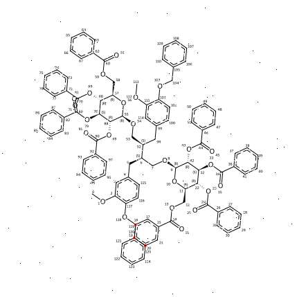 COc1cc(C[C@H](CO[C@@H]2O[C@H](COC(=O)c3ccccc3)[C@@H](OC(=O)c3ccccc3)[C@H](OC(=O)c3ccccc3)[C@H]2OC(=O)c2ccccc2)[C@@H](CO[C@@H]2O[C@H](COC(=O)c3ccccc3)[C@@H](OC(=O)c3ccccc3)[C@H](OC(=O)c3ccccc3)[C@H]2OC(=O)c2ccccc2)Cc2ccc(OCc3ccccc3)c(OC)c2)ccc1OCc1ccccc1